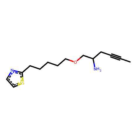 CC#CCC(N)COCCCCCc1nccs1